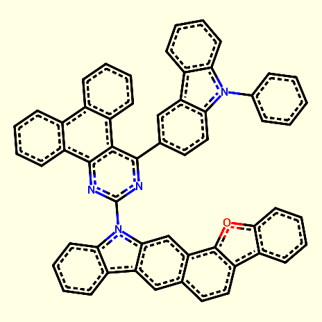 c1ccc(-n2c3ccccc3c3cc(-c4nc(-n5c6ccccc6c6cc7ccc8c9ccccc9oc8c7cc65)nc5c6ccccc6c6ccccc6c45)ccc32)cc1